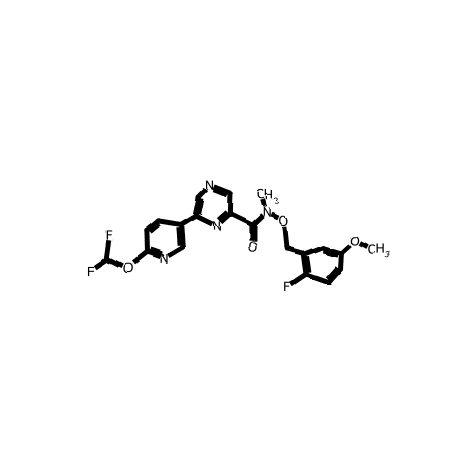 COc1ccc(F)c(CON(C)C(=O)c2cncc(-c3ccc(OC(F)F)nc3)n2)c1